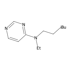 CCC(C)CCN(CC)c1ccncn1